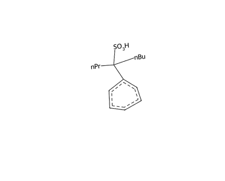 CCCCC(CCC)(c1ccccc1)S(=O)(=O)O